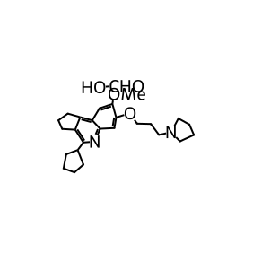 COc1cc2c3c(c(C4CCCC4)nc2cc1OCCCN1CCCC1)CCC3.O=CO